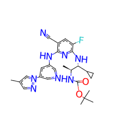 Cc1cnn(-c2cncc(Nc3nc(N[C@H](C4CC4)[C@H](C)NC(=O)OC(C)(C)C)c(F)cc3C#N)c2)c1